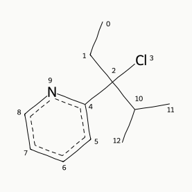 CCC(Cl)(c1ccccn1)C(C)C